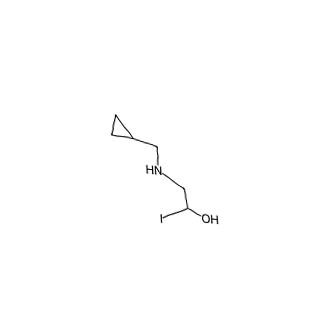 OC(I)CNCC1CC1